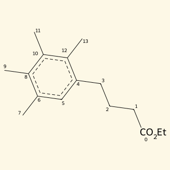 CCOC(=O)CCCc1cc(C)c(C)c(C)c1C